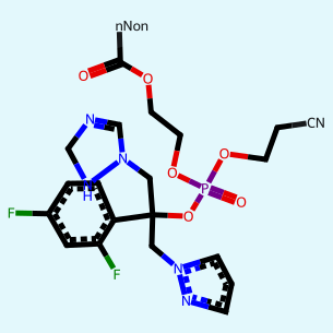 CCCCCCCCCC(=O)OCCOP(=O)(OCCC#N)OC(CN1C=NCN1)(Cn1cccn1)c1ccc(F)cc1F